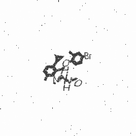 Cc1cc(Br)ccc1OCc1c(C2CC2)ccc(C)c1N(C)NNC=O